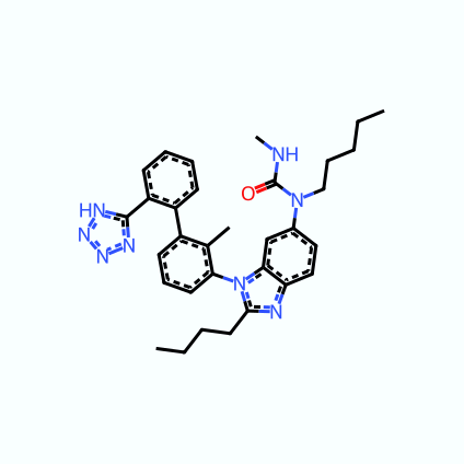 CCCCCN(C(=O)NC)c1ccc2nc(CCCC)n(-c3cccc(-c4ccccc4-c4nnn[nH]4)c3C)c2c1